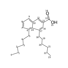 CCCCCCc1cccc2cc(C(=O)O)cc(CCCCCC)c12